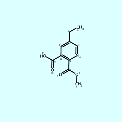 CCc1cnc(C(=O)OC)c(C(=O)O)c1